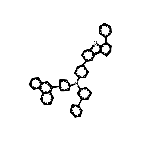 c1ccc(-c2cccc(N(c3ccc(-c4ccc5oc6c(-c7ccccc7)cccc6c5c4)cc3)c3ccc(-c4cc5ccccc5c5ccccc45)cc3)c2)cc1